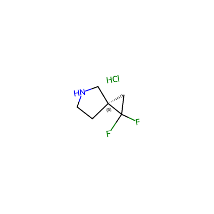 Cl.FC1(F)C[C@@]12CCNC2